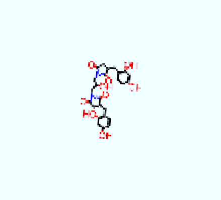 O=C1CC(Cc2ccc(O)cc2O)C(=O)N1CC(O)CN1C(=O)CC(Cc2ccc(O)cc2O)C1=O